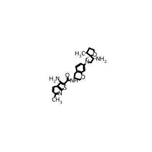 Cc1ccc2c(N)c(C(=O)N[C@H]3COc4cc(N5C[C@@H](N)[C@]6(C5)OCC[C@@H]6C)ccc4C3)sc2n1